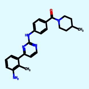 Cc1c(N)cccc1-c1ccnc(Nc2ccc(C(=O)N3CCC(C)CC3)cc2)n1